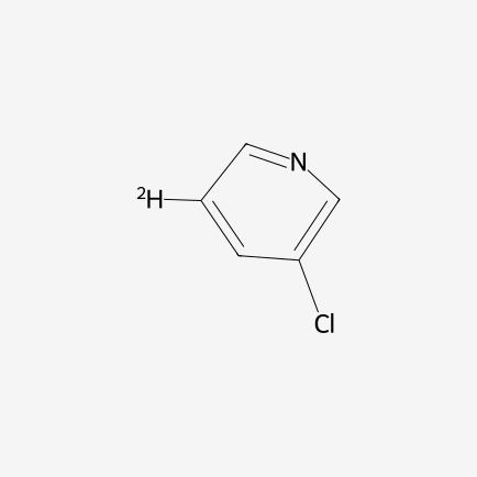 [2H]c1cncc(Cl)c1